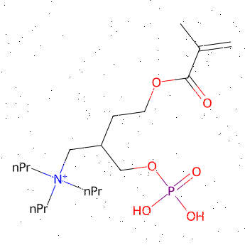 C=C(C)C(=O)OCCC(COP(=O)(O)O)C[N+](CCC)(CCC)CCC